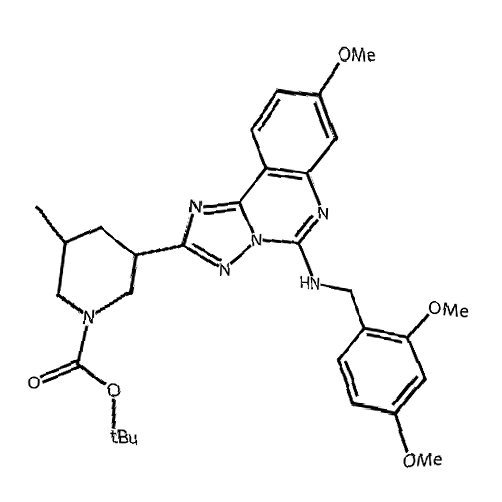 COc1ccc(CNc2nc3cc(OC)ccc3c3nc(C4CC(C)CN(C(=O)OC(C)(C)C)C4)nn23)c(OC)c1